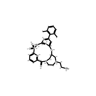 Cc1cccc(C)c1-c1cc2nc(n1)NS(=O)(=O)c1cccc(n1)C(=O)N1CCN(CCC(C)(C)C)CC(C1)O2